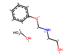 O=S(=O)(O)O.OCCNCOc1ccccc1